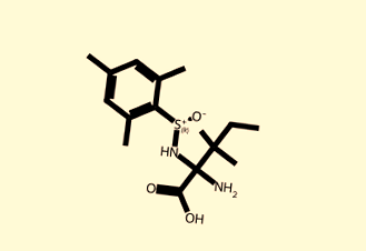 CCC(C)(C)C(N)(N[S@@+]([O-])c1c(C)cc(C)cc1C)C(=O)O